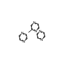 Cc1cnccn1.c1cnccn1.c1cnccn1